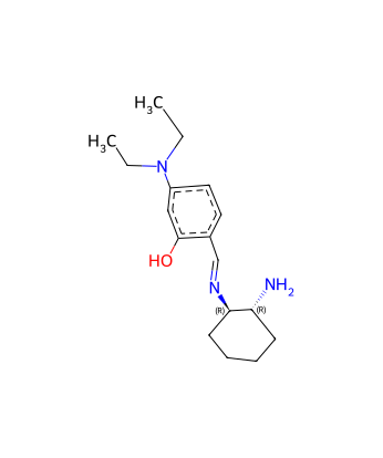 CCN(CC)c1ccc(C=N[C@@H]2CCCC[C@H]2N)c(O)c1